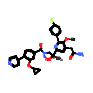 CCOc1c(CC(N)=O)cc([C@@](O)(CNC(=O)c2ccc(-c3ccncc3)c(OC3CC3)c2)C(F)(F)F)nc1-c1ccc(F)cc1